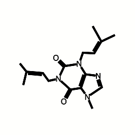 CC(C)=CCn1c(=O)c2c(ncn2C)n(CC=C(C)C)c1=O